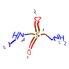 NS(=O)(=O)NI